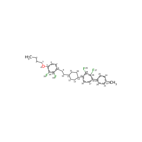 CCCCOc1ccc(CCC2CCC(c3ccc(-c4ccc(C)cc4)c(F)c3F)CC2)c(F)c1F